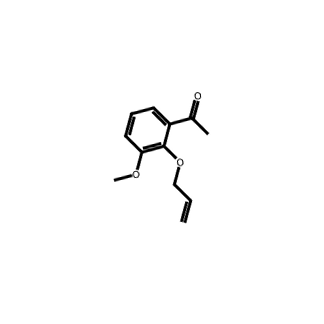 C=CCOc1c(OC)cccc1C(C)=O